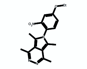 CCOc1ccc(-n2c(C)c3c(C)nnc(C)c3c2C)c([N+](=O)[O-])c1